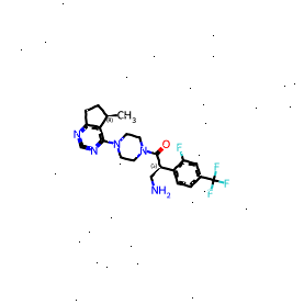 C[C@@H]1CCc2ncnc(N3CCN(C(=O)[C@H](CN)c4ccc(C(F)(F)F)cc4F)CC3)c21